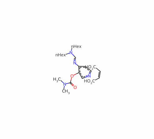 CCCCCCN(C=Nc1ccncc1OC(=O)N(C)C)CCCCCC.O=C(O)/C=C\C(=O)O